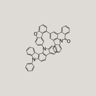 O=c1c2ccccc2c2cc(-c3cccc4oc5ccc(-n6c7ccccc7c7ccc8c(c9ccccc9n8-c8ccccc8)c76)cc5c34)cc3c4ccccc4n1c23